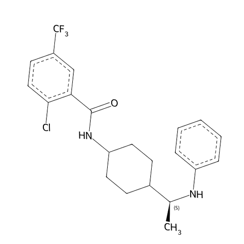 C[C@H](Nc1ccccc1)C1CCC(NC(=O)c2cc(C(F)(F)F)ccc2Cl)CC1